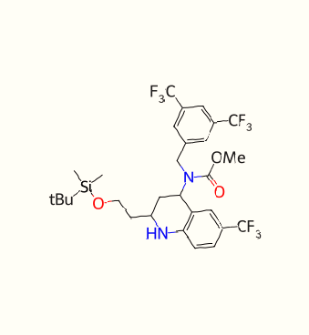 COC(=O)N(Cc1cc(C(F)(F)F)cc(C(F)(F)F)c1)C1CC(CCO[Si](C)(C)C(C)(C)C)Nc2ccc(C(F)(F)F)cc21